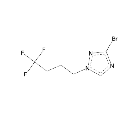 FC(F)(F)CCCn1cnc(Br)n1